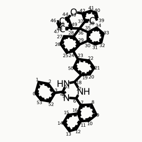 c1ccc(C2=NC(c3cccc4ccccc34)NC(c3cccc(-c4cccc5c4-c4ccccc4C54c5ccccc5Oc5ccccc54)c3)N2)cc1